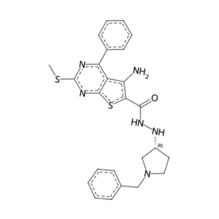 CSc1nc(-c2ccccc2)c2c(N)c(C(=O)NN[C@@H]3CCN(Cc4ccccc4)C3)sc2n1